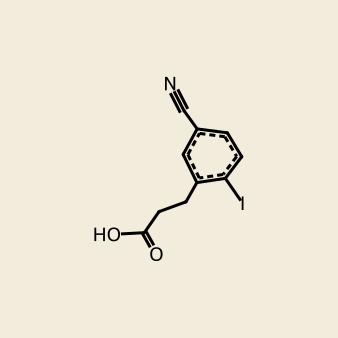 N#Cc1ccc(I)c(CCC(=O)O)c1